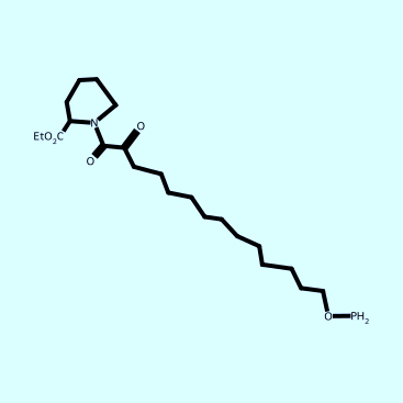 CCOC(=O)C1CCCCN1C(=O)C(=O)CCCCCCCCCCCCOP